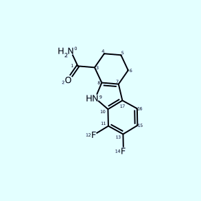 NC(=O)C1CCCc2c1[nH]c1c(F)c(F)ccc21